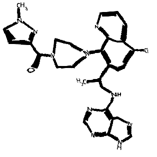 CC(Nc1ncnc2[nH]cnc12)c1cc(Cl)c2cccnc2c1N1CCN(C(=O)c2ccn(C)n2)CC1